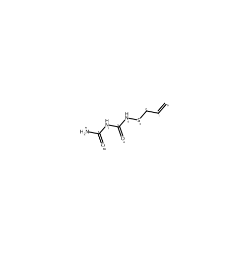 C=CCSNC(=O)NC(N)=O